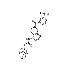 CC12C=C3CC(C1)CC(CC(=O)Nc1ncnc4c1CCN(C(=O)c1cccc(C(F)(F)F)c1)C4)(C3)C2